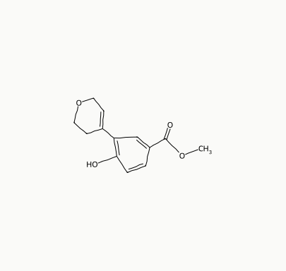 COC(=O)c1ccc(O)c(C2=CCOCC2)c1